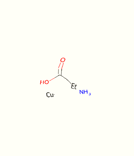 CCC(=O)O.N.[Cu]